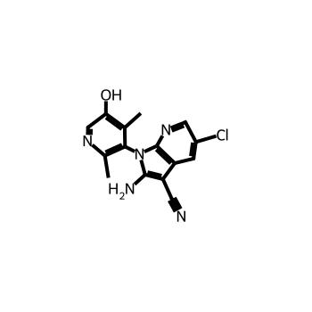 Cc1ncc(O)c(C)c1-n1c(N)c(C#N)c2cc(Cl)cnc21